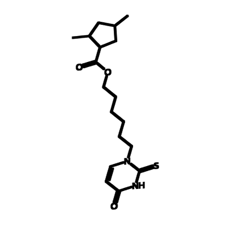 CC1CC(C)C(C(=O)OCCCCCCn2ccc(=O)[nH]c2=S)C1